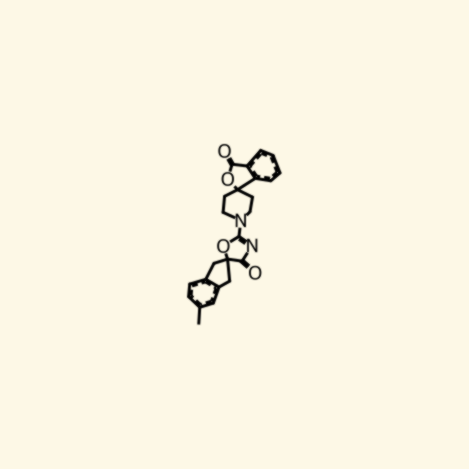 Cc1ccc2c(c1)CC1(C2)OC(N2CCC3(CC2)OC(=O)c2ccccc23)=NC1=O